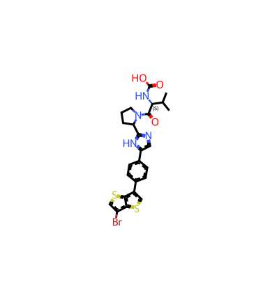 CC(C)[C@H](NC(=O)O)C(=O)N1CCCC1c1ncc(-c2ccc(-c3csc4c(Br)csc34)cc2)[nH]1